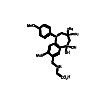 CCCCC1(CCCC)CN(c2ccc(OC)cc2)c2cc(SC)c(CNCC(=O)O)cc2S(O)(O)C1